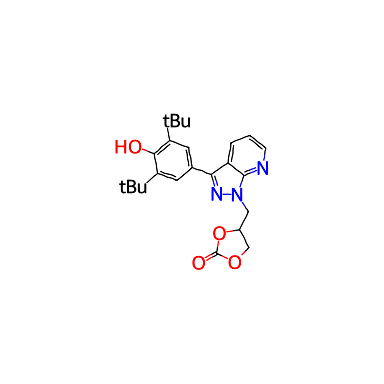 CC(C)(C)c1cc(-c2nn(CC3COC(=O)O3)c3ncccc23)cc(C(C)(C)C)c1O